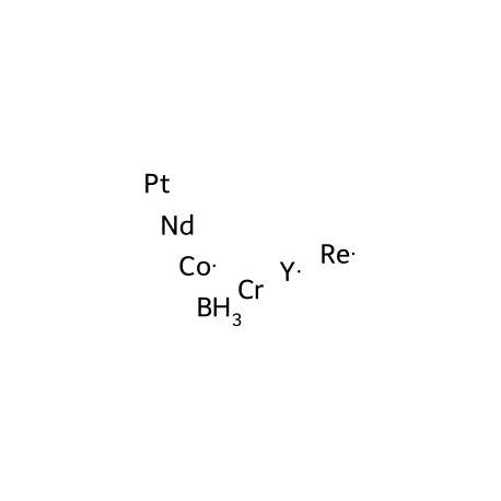 B.[Co].[Cr].[Nd].[Pt].[Re].[Y]